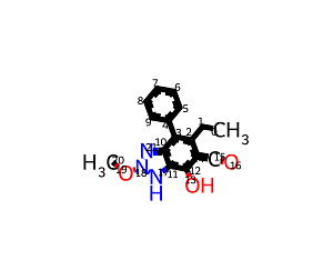 CCc1c(-c2ccccc2)c2c(c(O)c1=C=O)NN(OC)N=2